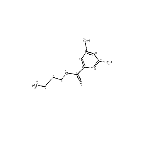 CCCCOC(=O)c1cc(O)cc(O)c1